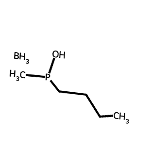 B.CCCCP(C)O